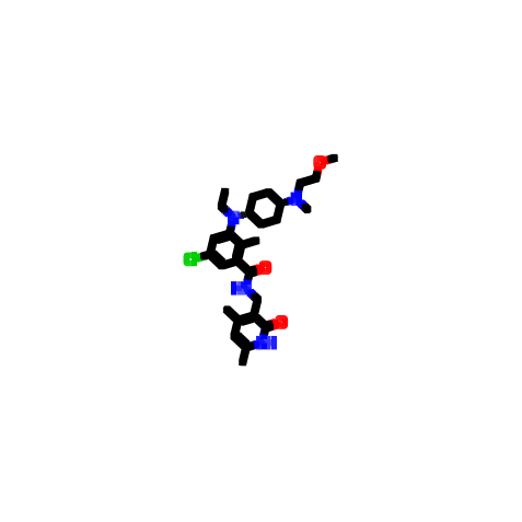 CCN(c1cc(Cl)cc(C(=O)NCc2c(C)cc(C)[nH]c2=O)c1C)[C@H]1CC[C@H](N(C)CCOC)CC1